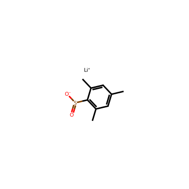 Cc1cc(C)c(S(=O)[O-])c(C)c1.[Li+]